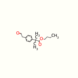 CCCCOC(=O)C(C)(C)c1ccc(CC=O)cc1